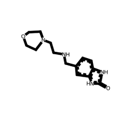 O=c1[nH]c2ccc(CNCCN3CCOCC3)cc2[nH]1